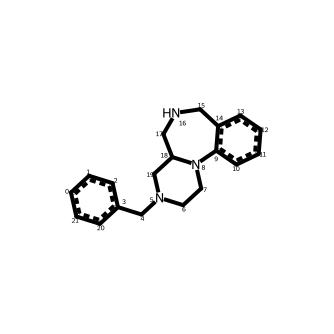 c1ccc(CN2CCN3c4ccccc4CNCC3C2)cc1